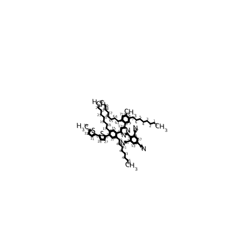 CCCCCCCCc1cc(-c2cc(-c3cc(CCCCCCCC)c(-c4ccc(-c5ccc(C)s5)s4)cc3CCCCCCCC)nc(-c3c(C#N)cc(C#N)cc3C#N)n2)c(CCCCCCCC)cc1C